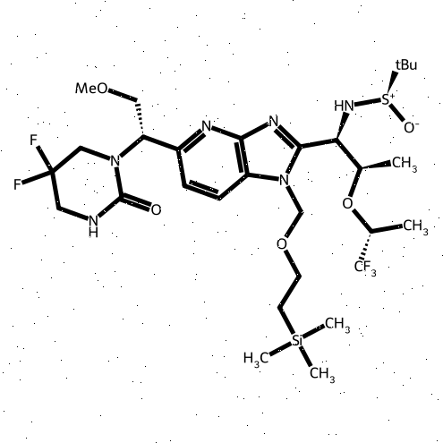 COC[C@H](c1ccc2c(n1)nc([C@@H](N[S@+]([O-])C(C)(C)C)[C@@H](C)O[C@H](C)C(F)(F)F)n2COCC[Si](C)(C)C)N1CC(F)(F)CNC1=O